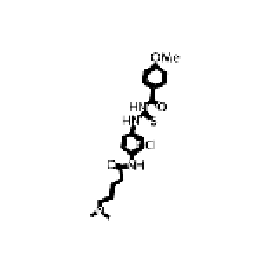 COc1ccc(C(=O)NC(=S)Nc2ccc(NC(=O)CCCCN(C)C)cc2)cc1.Cl